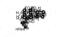 C=C(c1ccc(C(=O)O)cc1)c1cc2c(cc1C)C(C)(C)CCC2(C)C.C=C(c1ccc(C(=O)O)cc1)c1cc2c(cc1C)C(C)(C)CCC2(C)C.CCCCCCCCCCC[C@@H](C[C@@H]1OC(=O)[C@H]1CCCCCC)OC(=O)[C@H](CC(C)C)NC=O.O=C(O)Cc1ccccc1Nc1c(Cl)cccc1Cl.O=C(O)Cc1ccccc1Nc1c(Cl)cccc1Cl